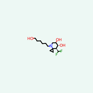 OCCCCCCN1C[C@@H](O)[C@H](O)[C@@H](C(F)F)C12CC2